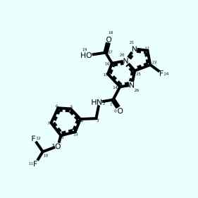 O=C(NCc1cccc(OC(F)F)c1)c1cc(C(=O)O)n2ncc(F)c2n1